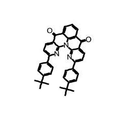 CC(C)(C)c1ccc(-c2ccc3c(=O)c4cccc5c(=O)c6ccc(-c7ccc(C(C)(C)C)cc7)nc6n(c3n2)c45)cc1